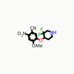 COc1cc([N+](=O)[O-])c(C#N)cc1OC1CCNCC1(F)F